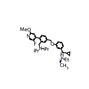 C/C=[PH](\CC)C[C@H](c1cccc(OCc2ccc(-c3cc(OC)ncc3F)c(CN(C(C)C)C(C)C)c2)c1)C1CC1